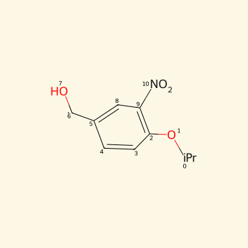 CC(C)Oc1ccc([CH]O)cc1[N+](=O)[O-]